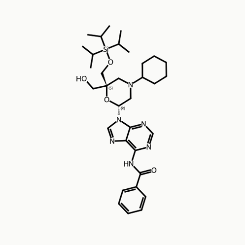 CC(C)[Si](OC[C@@]1(CO)CN(C2CCCCC2)C[C@H](n2cnc3c(NC(=O)c4ccccc4)ncnc32)O1)(C(C)C)C(C)C